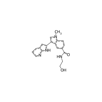 Cn1cc(-c2cc3cccnc3[nH]2)c2cc(C(=O)NCCO)ccc21